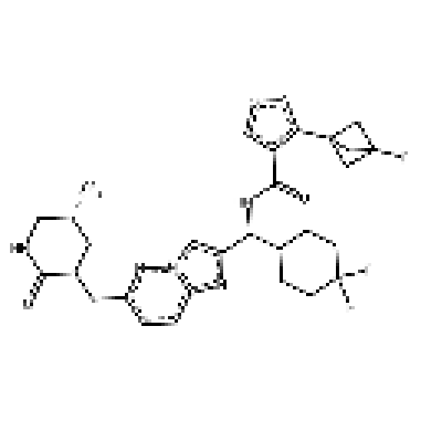 O=C(N[C@H](c1cn2nc(CC3C[C@@H](C(F)(F)F)CNC3=O)ccc2n1)C1CCC(F)(F)CC1)c1conc1C12CC(F)(C1)C2